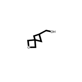 OCC1CC2(COC2)C1